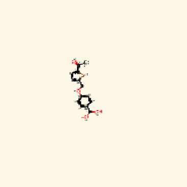 CCC(=O)c1ccc(COc2ccc(C(O)O)cc2)s1